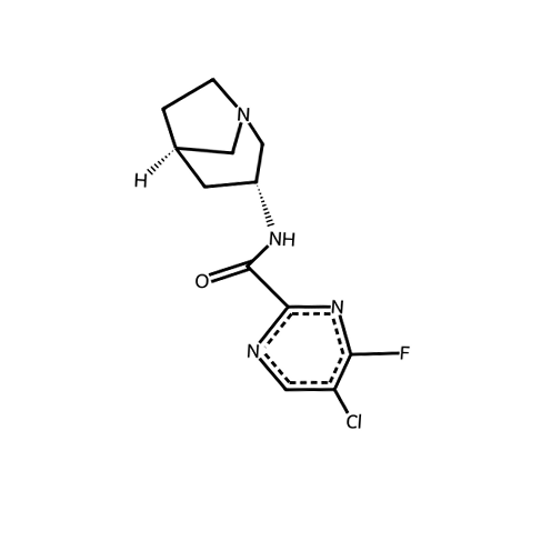 O=C(N[C@@H]1C[C@H]2CCN(C2)C1)c1ncc(Cl)c(F)n1